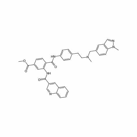 COC(=O)c1ccc(C(=O)Nc2ccc(CCN(C)Cc3ccc4c(cnn4C)c3)cc2)c(NC(=O)c2cnc3ccccc3c2)c1